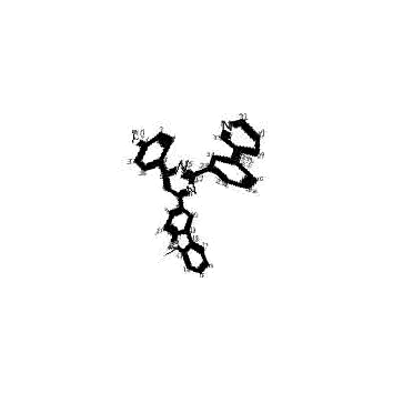 Fc1ccc(-c2cc(-c3ccc4sc5ccccc5c4c3)nc(-c3cccc(-c4cccnc4)c3)n2)cc1